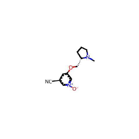 CN1CCC[C@H]1COc1cc(C#N)c[n+]([O-])c1